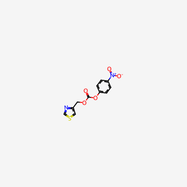 O=C(OCc1cscn1)Oc1ccc([N+](=O)[O-])cc1